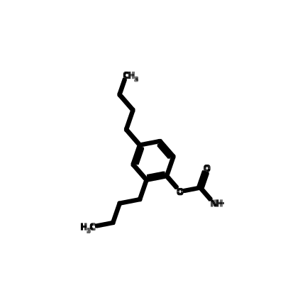 CCCCc1ccc(OC([NH])=O)c(CCCC)c1